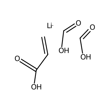 C=CC(=O)O.O=CO.O=CO.[Li]